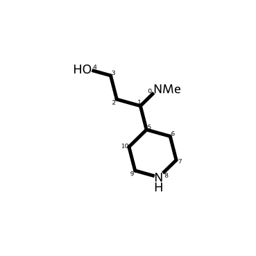 CNC(CCO)C1CCNCC1